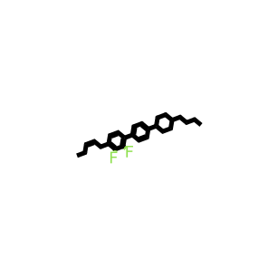 CC/C=C\Cc1ccc(-c2ccc(C3CCC(CCCC)CC3)cc2)c(F)c1F